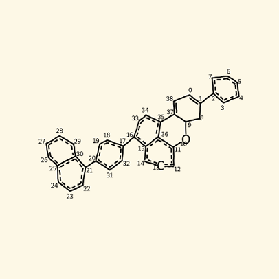 C1=C(c2ccccc2)CC2Oc3cccc4c(-c5ccc(-c6cccc7ccccc67)cc5)ccc(c34)C2=C1